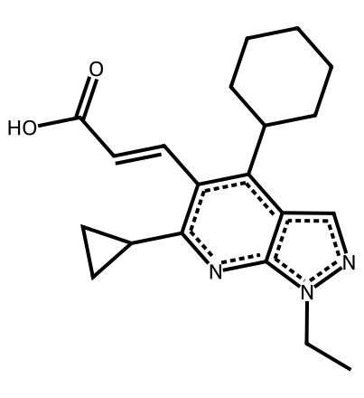 CCn1ncc2c(C3CCCCC3)c(/C=C/C(=O)O)c(C3CC3)nc21